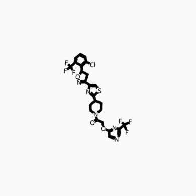 O=C(COc1cncc(C(F)(F)F)n1)N1CCC(c2nc(C3=NOC(c4c(Cl)cccc4C(F)(F)F)C3)cs2)CC1